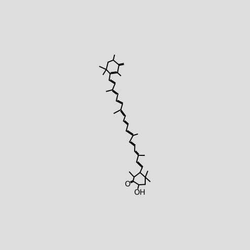 C=C1C(C)=C(/C=C/C(C)=C/C=C/C(C)=C/C=C/C=C(C)/C=C/C=C(C)/C=C/C2C(C)C(=O)C(O)CC2(C)C)C(C)(C)CC1C